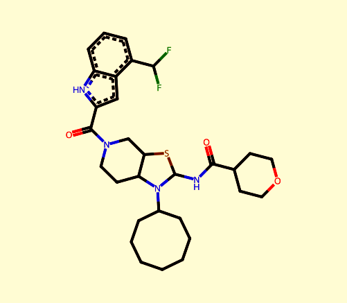 O=C(NC1SC2CN(C(=O)c3cc4c(C(F)F)cccc4[nH]3)CCC2N1C1CCCCCCC1)C1CCOCC1